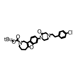 CC(C)(C)OC(=O)N1CCCc2oc3cc(N4CCN(CCc5ccc(Cl)cc5)CC4=O)ccc3c2C1